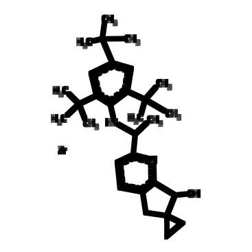 CC(Nc1c(C(C)(C)C)cc(C(C)(C)C)cc1C(C)(C)C)c1ccc2c(n1)C(O)C1(CC1)C2.[Zr]